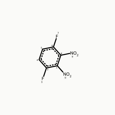 O=[N+]([O-])c1c(F)ccc(F)c1[N+](=O)[O-]